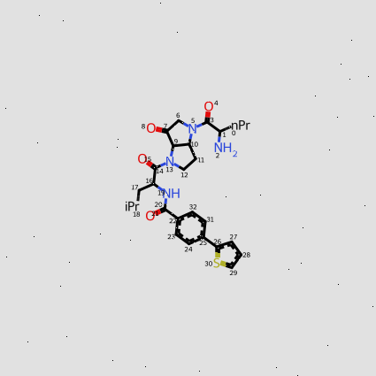 CCCC(N)C(=O)N1CC(=O)C2C1CCN2C(=O)C(CC(C)C)NC(=O)c1ccc(-c2cccs2)cc1